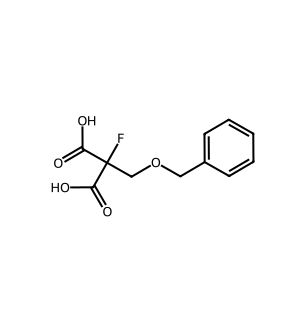 O=C(O)C(F)(COCc1ccccc1)C(=O)O